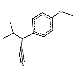 COc1ccc(C(C#N)C(C)C)cc1